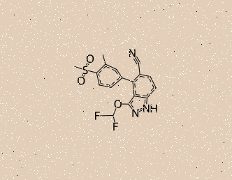 Cc1cc(-c2c(C#N)ccc3[nH]nc(OC(F)F)c23)ccc1S(C)(=O)=O